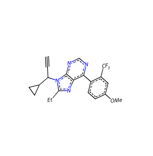 C#CC(C1CC1)n1c(CC)nc2c(-c3ccc(OC)cc3C(F)(F)F)ncnc21